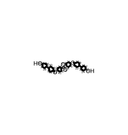 O=S(=O)(c1ccc(Oc2ccc(-c3ccc(O)cc3)cc2)cc1)c1ccc(Oc2ccc(-c3ccc(O)cc3)cc2)cc1